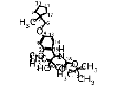 COc1cc(OCC2(C)CCCC2)ccc1C(NC(=O)OC(C)(C)C)C(C)(C)O